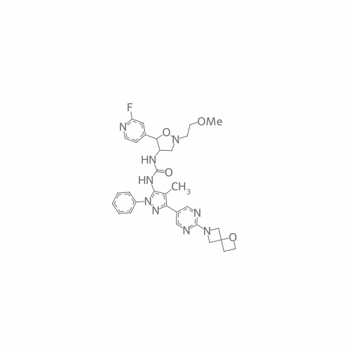 COCCN1CC(NC(=O)Nc2c(C)c(-c3cnc(N4CC5(CCO5)C4)nc3)nn2-c2ccccc2)C(c2ccnc(F)c2)O1